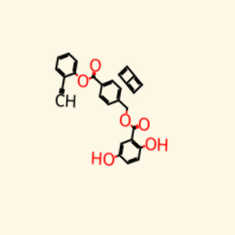 C#Cc1ccccc1OC(=O)c1ccc(COC(=O)c2cc(O)ccc2O)cc1.c1cc2ccc1-2